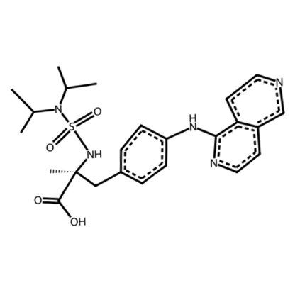 CC(C)N(C(C)C)S(=O)(=O)N[C@@](C)(Cc1ccc(Nc2nccc3cnccc23)cc1)C(=O)O